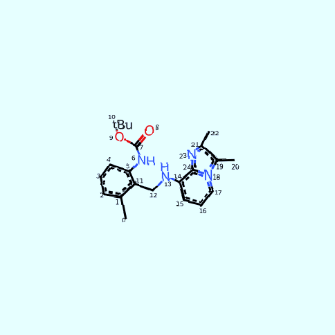 Cc1cccc(NC(=O)OC(C)(C)C)c1CNc1cccn2c(C)c(C)nc12